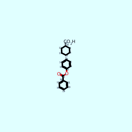 O=C(Oc1ccc([C@H]2CC[C@H](C(=O)O)CC2)cc1)c1ccccc1